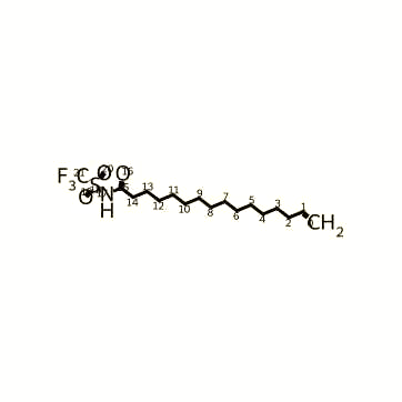 C=CCCCCCCCCCCCCCC(=O)NS(=O)(=O)C(F)(F)F